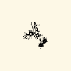 NC(=O)NCCC[C@H](NC(=O)OCC1c2ccccc2-c2ccccc21)C(=O)Nc1ccc(CCl)c(S(=O)(=O)O)c1